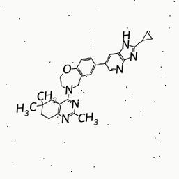 Cc1nc2c(c(N3CCOc4ccc(-c5cnc6nc(C7CC7)[nH]c6c5)cc4C3)n1)CC(C)(C)CC2